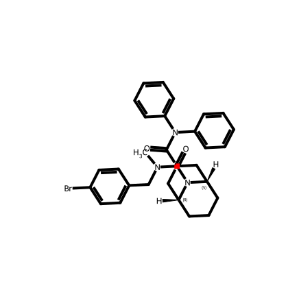 CN(Cc1ccc(Br)cc1)C(=O)N1[C@@H]2CCC[C@H]1CN(C(=O)N(c1ccccc1)c1ccccc1)C2